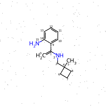 C=C(NCC1(C)CCC1)c1ccccc1N